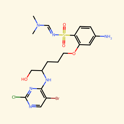 CN(C)C=NS(=O)(=O)c1ccc(N)cc1OCCCC(CO)Nc1nc(Cl)ncc1Br